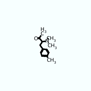 CC(=O)C(Cc1ccc(C)cc1)N(C)C